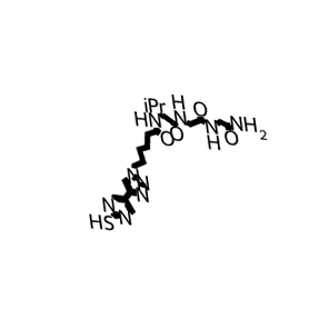 CC(C)C(NC(=O)CCCCCn1cc(-c2cnc(S)nc2)nn1)C(=O)NCC(=O)NCC(N)=O